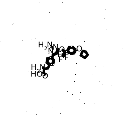 Nc1nc(OC(c2ccc(OC3CCCC3)cc2)C(F)(F)F)cc(-c2ccc(CC(N)C(=O)O)cc2)n1